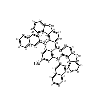 CC(C)(C)c1cc2c3c(c1)N(c1ccc4ccccc4c1)c1c(ccc4oc5ccccc5c14)B3c1ccc3oc4ccccc4c3c1N2c1ccc2ccccc2c1